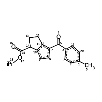 Cc1ccc(C(=O)c2ccc3n2CCC3C(=O)OC(C)C)cc1